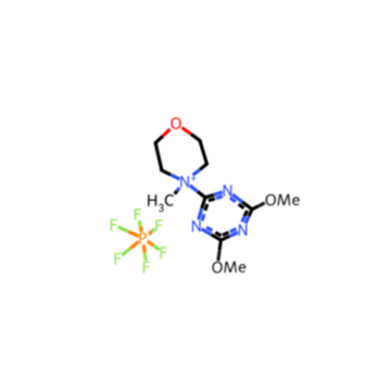 COc1nc(OC)nc([N+]2(C)CCOCC2)n1.F[P-](F)(F)(F)(F)F